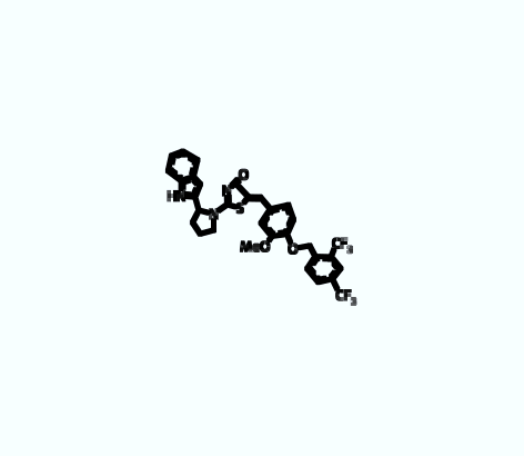 COc1cc(/C=C2\SC(N3CCCC3c3cc4ccccc4[nH]3)=NC2=O)ccc1OCc1ccc(C(F)(F)F)cc1C(F)(F)F